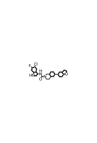 O=C(Nc1c[nH]c2cc(F)c(Cl)cc12)N1CCc2cc(-c3ccc4occc4c3)ccc2C1